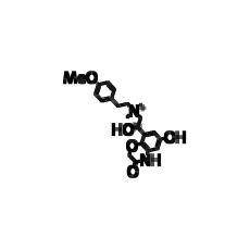 COc1ccc(CC[N+](C)(C)C[C@H](O)c2cc(O)cc3c2OCC(=O)N3)cc1